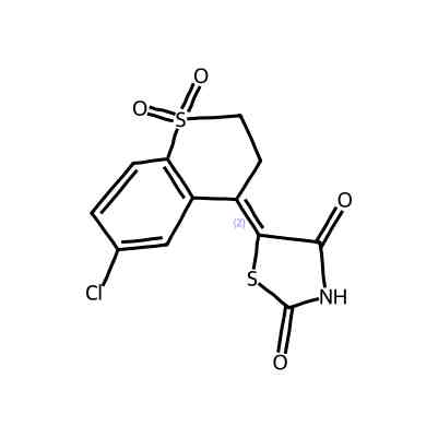 O=C1NC(=O)/C(=C2\CCS(=O)(=O)c3ccc(Cl)cc32)S1